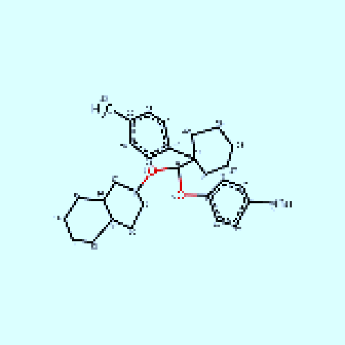 CCC(C)c1ccc(OC(OC2CCC3CCCCC3C2)C2(c3ccc(C)cc3)CCCCC2)cc1